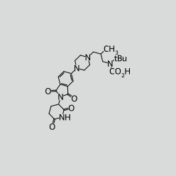 CC(CN1CCN(c2ccc3c(c2)C(=O)N(C2CCC(=O)NC2=O)C3=O)CC1)CN(C(=O)O)C(C)(C)C